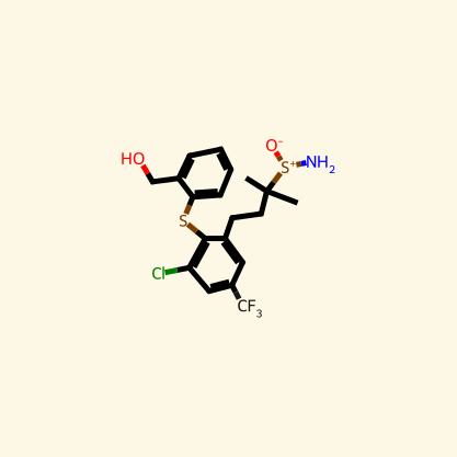 CC(C)(CCc1cc(C(F)(F)F)cc(Cl)c1Sc1ccccc1CO)[S+](N)[O-]